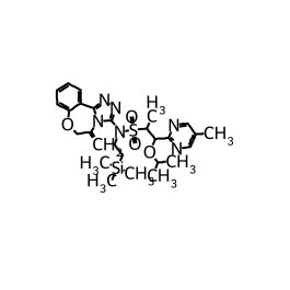 C=C1COc2ccccc2-c2nnc(N(CC[Si](C)(C)C)S(=O)(=O)C(C)C(OC(C)C)c3ncc(C)cn3)n21